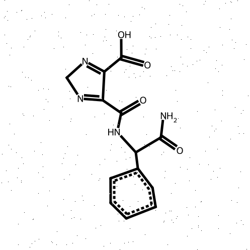 NC(=O)C(NC(=O)C1=NCN=C1C(=O)O)c1ccccc1